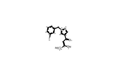 O=C(O)C(O)=CC(=O)c1cnn(Cc2cccc(F)c2)c1